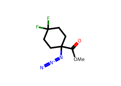 COC(=O)C1(N=[N+]=[N-])CCC(F)(F)CC1